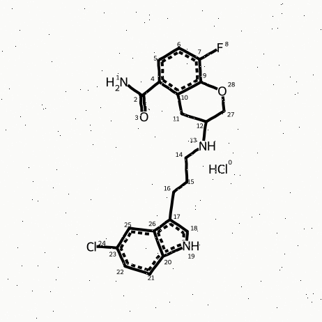 Cl.NC(=O)c1ccc(F)c2c1CC(NCCCc1c[nH]c3ccc(Cl)cc13)CO2